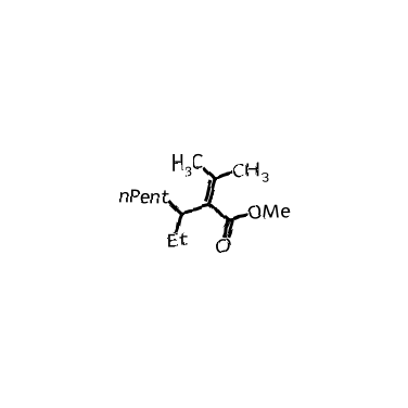 CCCCCC(CC)C(C(=O)OC)=C(C)C